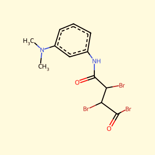 CN(C)c1cccc(NC(=O)C(Br)C(Br)C(=O)Br)c1